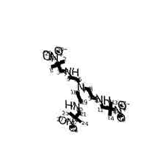 CC(C)(CNCCN(CCNCC(C)(C)[N+](=O)[O-])CCNCC(C)(C)[N+](=O)[O-])[N+](=O)[O-]